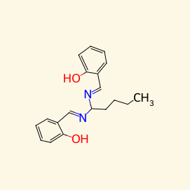 CCCCC(N=Cc1ccccc1O)N=Cc1ccccc1O